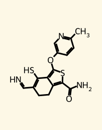 Cc1ccc(Oc2sc(C(N)=O)c3c2C(S)=C(C=N)CC3)cn1